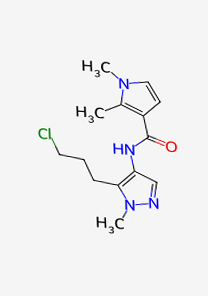 Cc1c(C(=O)Nc2cnn(C)c2CCCCl)ccn1C